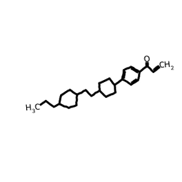 C=CC(=O)c1ccc(C2CCC(CCC3CCC(CCC)CC3)CC2)cc1